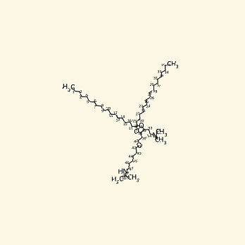 CCCCCCCCCCCCCCCCCCC1(CCCCCCCCCCCCCCCCCC)OC(CCOCCCCCCNC(C)C)C(CCN(C)C)O1